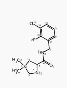 C[Si]1(C)CNC(C(=O)NCc2cccc(Cl)c2F)C1